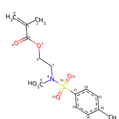 C=C(C)C(=O)OCCN(C(=O)O)S(=O)(=O)c1ccc(C)cc1